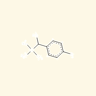 CC(C)(C)[Si](C)(C)C(O)c1ccc(Br)cc1